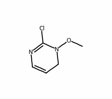 CON1CC=CN=C1Cl